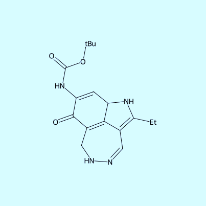 CCC1=C2C=NNCC3=C2C(C=C(NC(=O)OC(C)(C)C)C3=O)N1